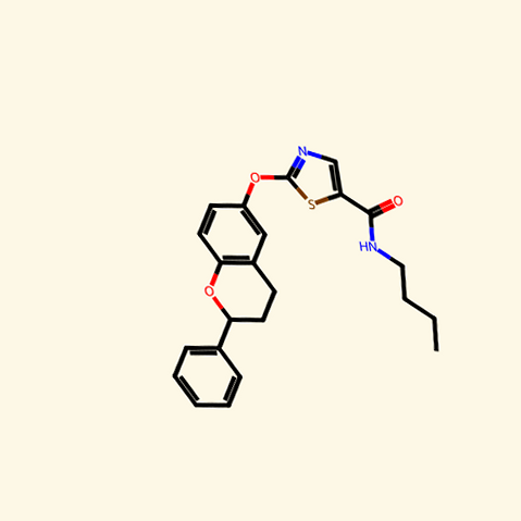 CCCCNC(=O)c1cnc(Oc2ccc3c(c2)CCC(c2ccccc2)O3)s1